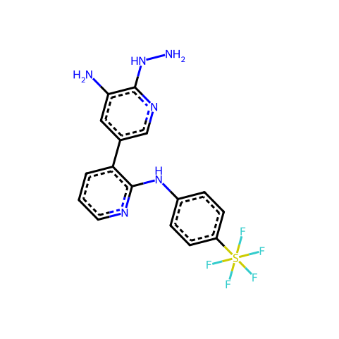 NNc1ncc(-c2cccnc2Nc2ccc(S(F)(F)(F)(F)F)cc2)cc1N